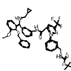 COc1cccc(C(NCC2CC2)c2cccc(NC(=O)c3cc(C(F)(F)F)nn3-c3cccc(CNC(=O)OC(C)(C)C)c3)c2)c1OCc1ccccc1